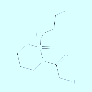 O=C(CCl)N1CCCOP1(=O)NCCCl